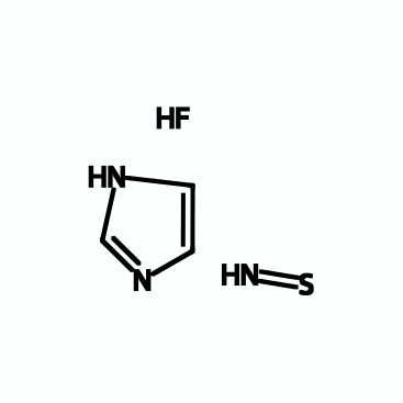 F.N=S.c1c[nH]cn1